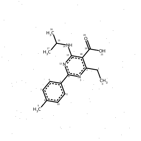 CCc1nc(-c2ccc(C)cc2)nc(NC(C)C)c1C(=O)O